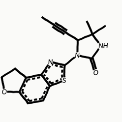 CC#CC1N(c2nc3c4c(ccc3s2)OCC4)C(=O)NC1(C)C